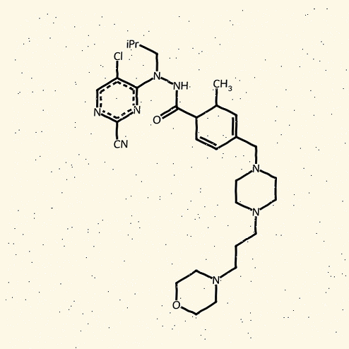 CC(C)CN(NC(=O)C1C=CC(CN2CCN(CCCN3CCOCC3)CC2)=CC1C)c1nc(C#N)ncc1Cl